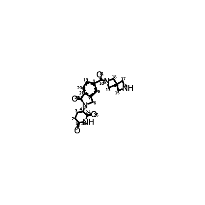 O=C1CCC(N2Cc3cc(C(=O)N4CC5(CNC5)C4)ccc3C2=O)C(=O)N1